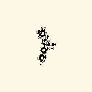 CN(c1ncc(-c2ccc(-c3ccc(Cl)nn3)cc2O)nn1)C1CC(C)(C)NC(C)(C)C1.Cl